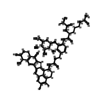 Cc1c(F)cc2nc3c(c4c2c1CC[C@@H]4NC(=O)OCc1ccc(NC(=O)C(CCCNC(N)=O)NC(=O)[C@@H](C)C(C)C)c(O[C@@H]2O[C@H](C(=O)O)[C@@H](O)[C@H](O)[C@H]2O)c1)Cn1c-3cc2c(c1=O)COC(=O)C2O